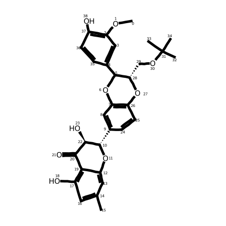 COc1cc(C2Oc3cc([C@@H]4Oc5cc(C)cc(O)c5C(=O)[C@H]4O)ccc3O[C@H]2COC(C)(C)C)ccc1O